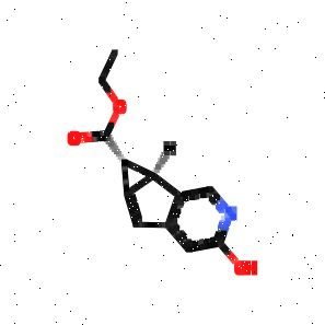 CCOC(=O)[C@H]1C2=Cc3cc(O)ncc3[C@@H]21